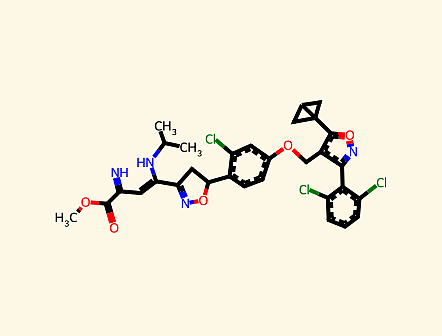 COC(=O)C(=N)/C=C(\NC(C)C)C1=NOC(c2ccc(OCc3c(-c4c(Cl)cccc4Cl)noc3C34CC3C4)cc2Cl)C1